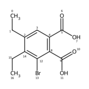 CCc1cc(C(=O)O)c(C(=O)O)c(Br)c1CC